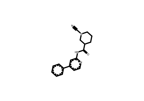 N#CN1CCCC(C(=O)Nc2cc(-c3ccccc3)ccn2)C1